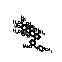 C=C(N)C1=C(O)[C@@H](N(C)C)[C@@H]2C[C@@H]3Cc4c(-c5ccc(OC)c(CN6CCN(C)CC6)c5)ccc(C)c4C(=C)C3=C(C)[C@]2(N)C1=C